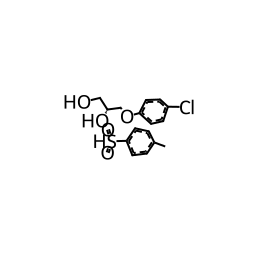 Cc1ccc([SH](=O)=O)cc1.OC[C@@H](O)COc1ccc(Cl)cc1